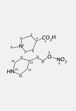 CN1CCC(C(=O)O)CC1.O=[N+]([O-])OCCC1CCNCC1